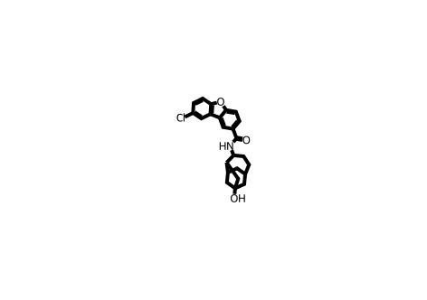 O=C(NC1CCC2CC3CC(O)(C2)CC31)c1ccc2oc3ccc(Cl)cc3c2c1